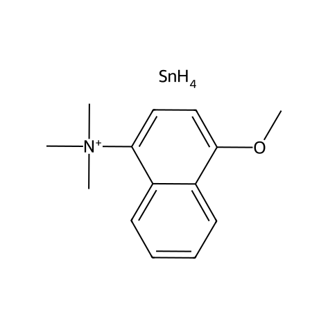 COc1ccc([N+](C)(C)C)c2ccccc12.[SnH4]